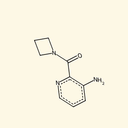 Nc1cccnc1C(=O)N1CCC1